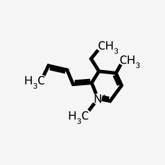 C/C=C\C=C1/C(CC)C(C)=CC=[N+]1C